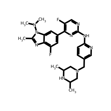 Cc1nc2c(F)cc(-c3nc(Nc4ccc(CN5CC(C)NC(C)C5)cn4)ncc3F)cc2n1N(C)C